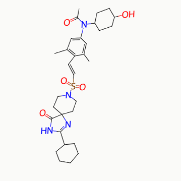 CC(=O)N(c1cc(C)c(C=CS(=O)(=O)N2CCC3(CC2)N=C(C2CCCCC2)NC3=O)c(C)c1)C1CCC(O)CC1